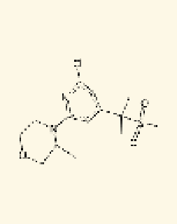 CC1COCCN1c1cc(C(C)(C)S(C)(=O)=O)cc(Cl)n1